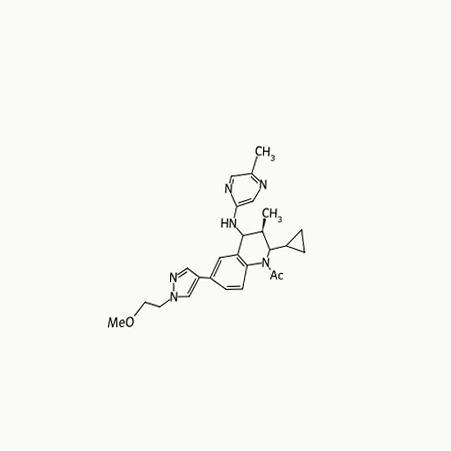 COCCn1cc(-c2ccc3c(c2)C(Nc2cnc(C)cn2)[C@@H](C)C(C2CC2)N3C(C)=O)cn1